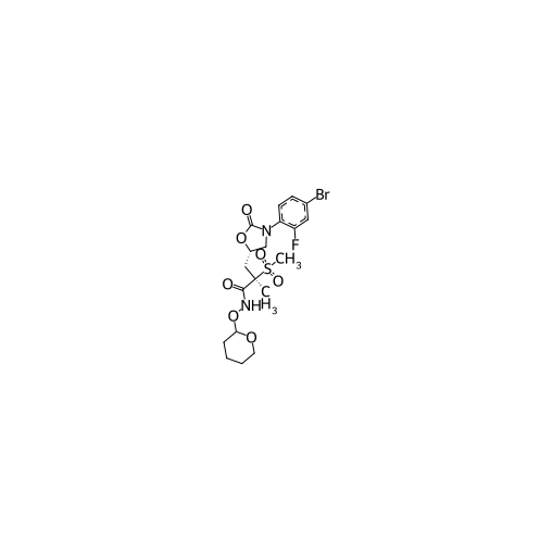 C[C@@](C[C@H]1CN(c2ccc(Br)cc2F)C(=O)O1)(C(=O)NOC1CCCCO1)S(C)(=O)=O